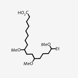 CCC(CCCC(CCC(CCCCCCCC(=O)O)OC)OC)OC